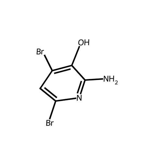 Nc1nc(Br)cc(Br)c1O